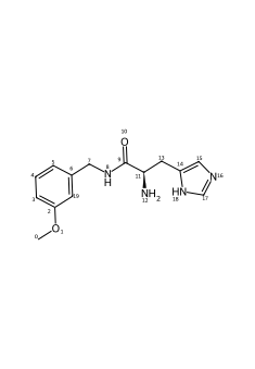 COc1cccc(CNC(=O)[C@H](N)Cc2cnc[nH]2)c1